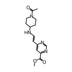 COC(=O)c1cc(C=CNC2CCN(C(C)=O)CC2)ncn1